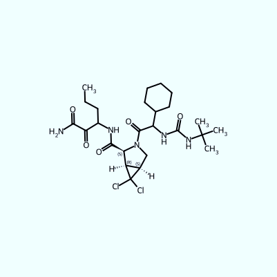 CCCC(NC(=O)[C@@H]1[C@H]2[C@@H](CN1C(=O)C(NC(=O)NC(C)(C)C)C1CCCCC1)C2(Cl)Cl)C(=O)C(N)=O